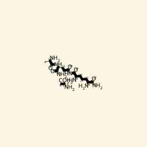 C[C@@H](N)C(=O)O.C[C@H](N)C(=O)N[C@H](CCC(=O)NC(=O)[C@H](N)CCC[C@H](N)C(N)=O)C(N)=O